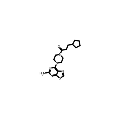 Nc1nc(N2CCN(C(=O)CCC3CCCC3)CC2)c2ncsc2n1